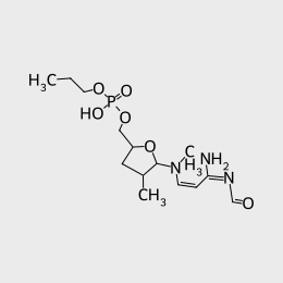 CCCOP(=O)(O)OCC1CC(C)C(N(C)/C=C\C(N)=N/C=O)O1